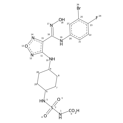 O=C(O)NS(=O)(=O)NC1CCC(Nc2nonc2/C(=N/O)Nc2ccc(F)c(Br)c2)CC1